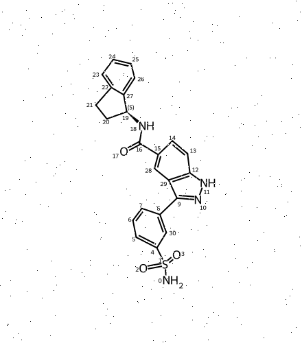 NS(=O)(=O)c1cccc(-c2n[nH]c3ccc(C(=O)N[C@H]4CCc5ccccc54)cc23)c1